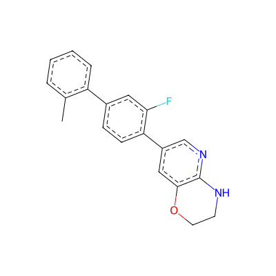 Cc1ccccc1-c1ccc(-c2cnc3c(c2)OCCN3)c(F)c1